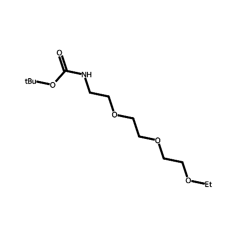 CCOCCOCCOCCNC(=O)OC(C)(C)C